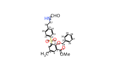 COC(=O)c1cc(C)cc(S(=O)(=O)c2ccc(CCNC=O)cc2)c1OCc1ccccc1